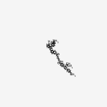 CN(C)C[C@@H]1CN(c2ncc(CN)cn2)CCN1c1ncc(C(=O)NCCOCCC(=O)N2CCc3cc(Cn4nc(-c5ccc6oc(N)nc6c5)c5c(N)ncnc54)ccc3C2)cn1